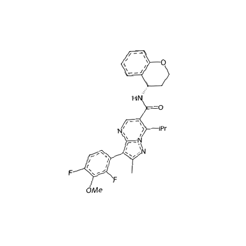 COc1c(F)ccc(-c2c(C)nn3c(C(C)C)c(C(=O)N[C@H]4CCOc5ccccc54)cnc23)c1F